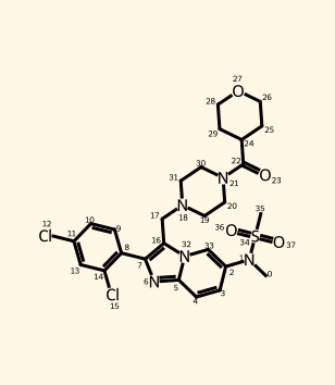 CN(c1ccc2nc(-c3ccc(Cl)cc3Cl)c(CN3CCN(C(=O)C4CCOCC4)CC3)n2c1)S(C)(=O)=O